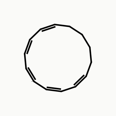 [C]1=CC=CC=CCCCCC=CC=C1